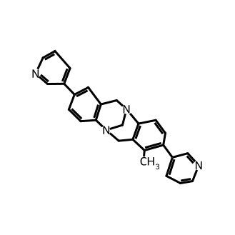 Cc1c(-c2cccnc2)ccc2c1CN1CN2Cc2cc(-c3cccnc3)ccc21